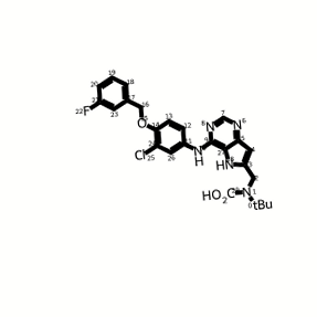 CC(C)(C)N(Cc1cc2ncnc(Nc3ccc(OCc4cccc(F)c4)c(Cl)c3)c2[nH]1)C(=O)O